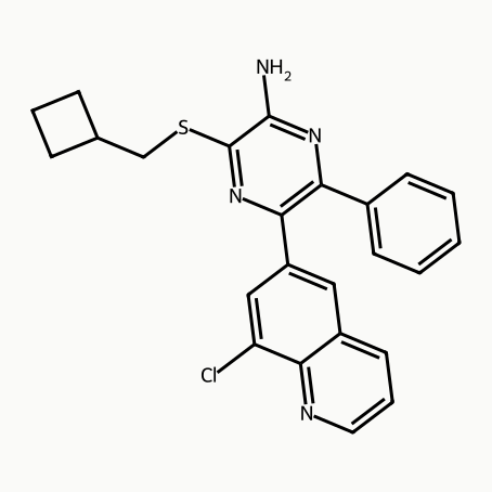 Nc1nc(-c2ccccc2)c(-c2cc(Cl)c3ncccc3c2)nc1SCC1CCC1